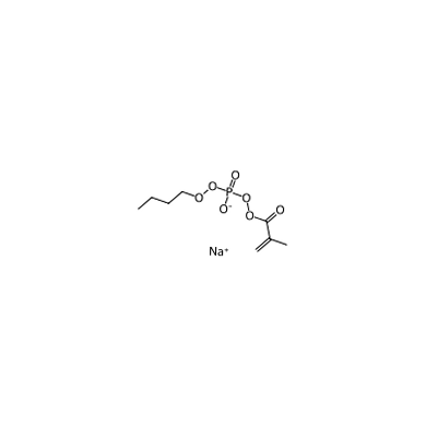 C=C(C)C(=O)OOP(=O)([O-])OOCCCC.[Na+]